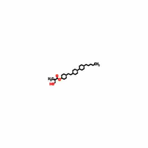 C=C(CO)C(=O)OC1CCC(CCC2CCC(C3CCC(CCCCC)CC3)CC2)CC1